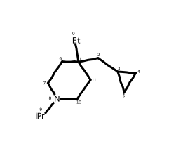 CCC1(CC2CC2)CCN(C(C)C)CC1